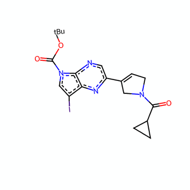 CC(C)(C)OC(=O)n1cc(I)c2nc(C3=CCN(C(=O)C4CC4)C3)cnc21